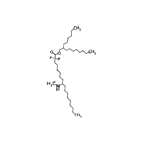 CCCCCCCCCC(CCCCCCC(F)(F)C(=O)OCC(CCCCCC)CCCCCCCC)NC